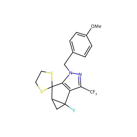 COc1ccc(Cn2nc(C(F)(F)F)c3c2C2(SCCS2)C2CC32F)cc1